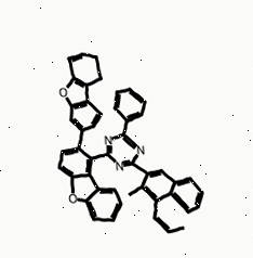 C/C=C\c1c(C)c(-c2nc(-c3ccccc3)nc(-c3c(-c4ccc5c6c(oc5c4)C=CCC6)ccc4oc5ccccc5c34)n2)cc2ccccc12